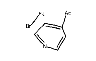 CC(=O)c1ccncc1.CCBr